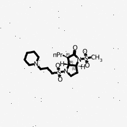 CCC[C@H]1C(=O)N(S(C)(=O)=O)[C@H]2CCN(S(=O)(=O)CCCN3CCCCC3)[C@H]12